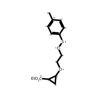 CCOC(=O)C1CC1OCCOSc1ccc(C)cc1